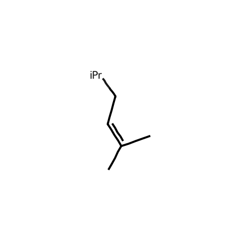 CC(C)=CCC(C)C